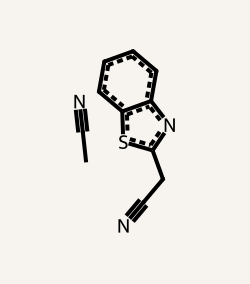 CC#N.N#CCc1nc2ccccc2s1